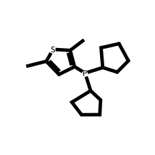 Cc1cc(P(C2CCCC2)C2CCCC2)c(C)s1